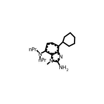 CCCN(CCC)c1ccc(C2CCCCC2)c2nc(N)n(C)c12